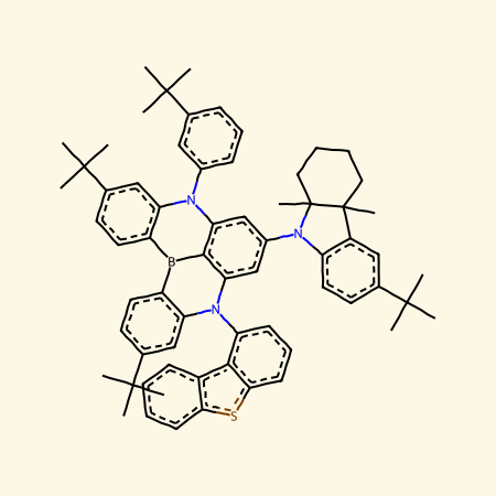 CC(C)(C)c1cccc(N2c3cc(C(C)(C)C)ccc3B3c4ccc(C(C)(C)C)cc4N(c4cccc5sc6ccccc6c45)c4cc(N5c6ccc(C(C)(C)C)cc6C6(C)CCCCC56C)cc2c43)c1